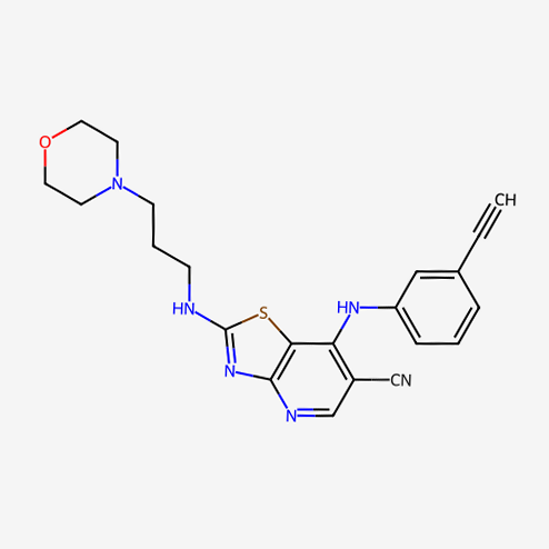 C#Cc1cccc(Nc2c(C#N)cnc3nc(NCCCN4CCOCC4)sc23)c1